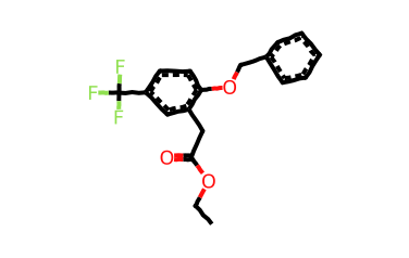 CCOC(=O)Cc1cc(C(F)(F)F)ccc1OCc1ccccc1